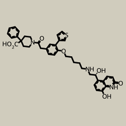 O=C(Cc1ccc(OCCCCCNC[C@H](O)c2ccc(O)c3[nH]c(=O)ccc23)c(-c2ccsc2)c1)N1CCC(C(=O)O)(c2ccccc2)CC1